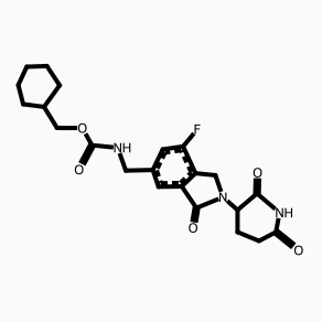 O=C1CCC(N2Cc3c(F)cc(CNC(=O)OCC4CCCCC4)cc3C2=O)C(=O)N1